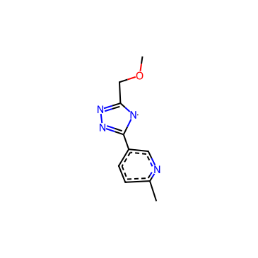 COCC1=NN=C(c2ccc(C)nc2)[N]1